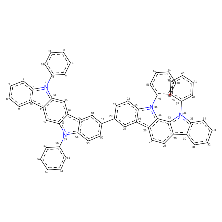 c1ccc(-n2c3ccccc3c3cc4c(cc32)c2cc(-c3ccc5c(c3)c3ccc6c7ccccc7n(-c7ccccc7)c6c3n5-c3ccccc3)ccc2n4-c2ccccc2)cc1